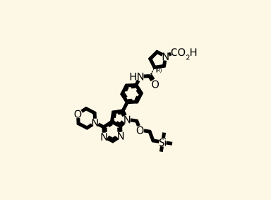 C[Si](C)(C)CCOCn1c(-c2ccc(NC(=O)[C@@H]3CCN(C(=O)O)C3)cc2)cc2c(N3CCOCC3)ncnc21